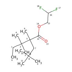 CCC(C)(C)C(C)(CC(C)(C)C)C(=O)OCC(F)F